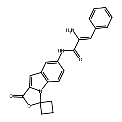 NC(=Cc1ccccc1)C(=O)Nc1ccc2c(c1)cc1n2C2(CCC2)OC1=O